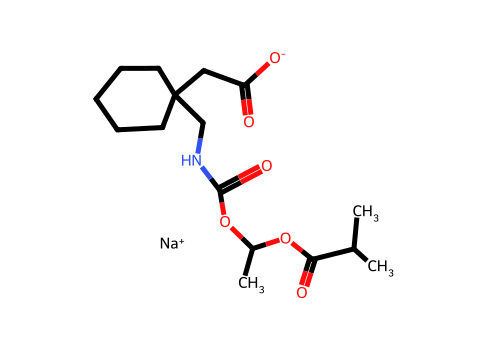 CC(OC(=O)NCC1(CC(=O)[O-])CCCCC1)OC(=O)C(C)C.[Na+]